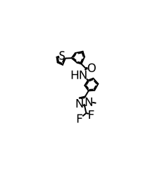 Cn1c(-c2cccc(NC(=O)c3cccc(-c4cccs4)c3)c2)cnc1C(F)F